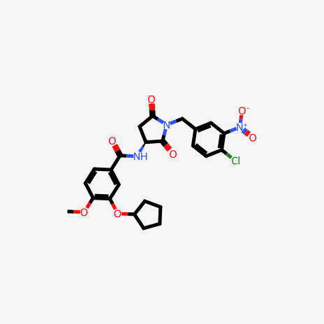 COc1ccc(C(=O)N[C@H]2CC(=O)N(Cc3ccc(Cl)c([N+](=O)[O-])c3)C2=O)cc1OC1CCCC1